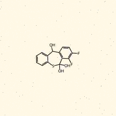 OC1c2ccccc2SC(O)(O)c2c1ccc(F)c2F